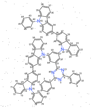 c1ccc(-c2nc(-c3ccccc3)nc(-c3cc(-n4c5ccccc5c5ccc(-c6ccc7c(c6)c6ccccc6n7-c6ccccc6)cc54)cc(-n4c5ccccc5c5ccc(-c6ccc7c(c6)c6ccccc6n7-c6ccccc6)cc54)c3)n2)cc1